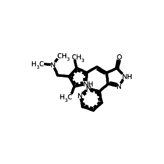 Cc1[nH]c(/C=C2/C(=O)NN=C2c2cccnn2)c(C)c1CN(C)C